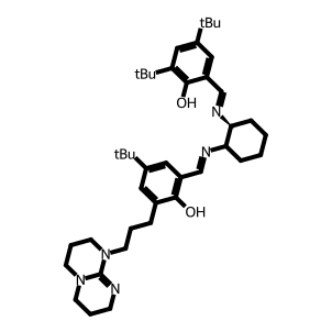 CC(C)(C)c1cc(/C=N/C2CCCC[C@@H]2/N=C/c2cc(C(C)(C)C)cc(C(C)(C)C)c2O)c(O)c(CCCN2CCCN3CCCN=C32)c1